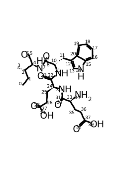 CC[C@H](C)[C@@H]([C]=O)NC(=O)[C@H](Cc1c[nH]c2ccccc12)NC(=O)[C@H](CCC(=O)O)NC(=O)[C@@H](N)CCC(=O)O